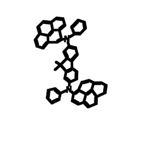 CC1(C)c2cc(N(c3ccccc3)c3ccc4ccc5cccc6ccc3c4c56)ccc2-c2ccc(N(c3ccccc3)c3cc4cccc5ccc6cccc3c6c54)cc21